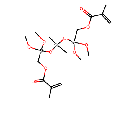 C=C(C)C(=O)OC[Si](OC)(OC)O[Si](C)(C)O[Si](COC(=O)C(=C)C)(OC)OC